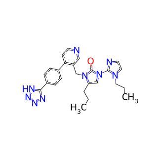 CCCc1cn(-c2nccn2CCC)c(=O)n1Cc1cnccc1-c1ccc(-c2nnn[nH]2)cc1